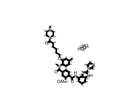 COc1cc(C(=O)N(C)c2ccc(C)cc2OCCCCCC(=O)N2CCN(C)CC2)ccc1C(=O)Nc1cccc2[nH]c(-n3ccnc3)nc12.Cl.Cl.Cl